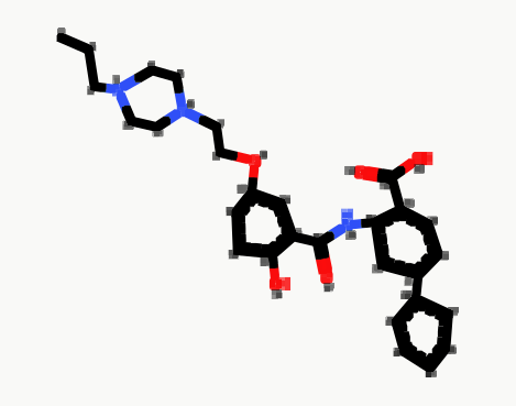 CCCN1CCN(CCOc2ccc(O)c(C(=O)Nc3cc(-c4ccccc4)ccc3C(=O)O)c2)CC1